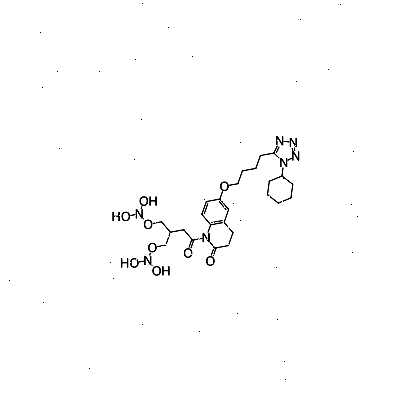 O=C1CCc2cc(OCCCCc3nnnn3C3CCCCC3)ccc2N1C(=O)CC(CON(O)O)CON(O)O